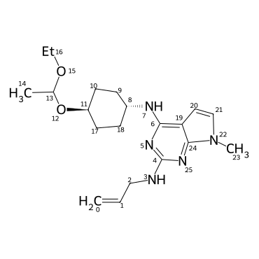 C=CCNc1nc(N[C@H]2CC[C@H](OC(C)OCC)CC2)c2ccn(C)c2n1